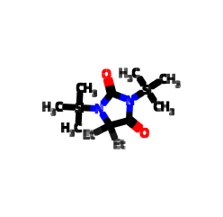 CCC1(CC)C(=O)N([Si](C)(C)C)C(=O)N1[Si](C)(C)C